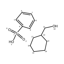 O=S(=O)(O)c1ccccc1.OCC1CCCCC1